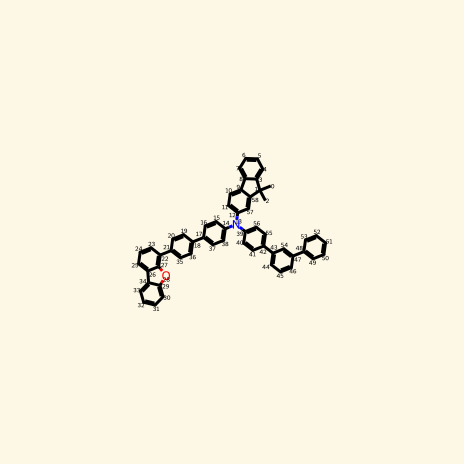 CC1(C)c2ccccc2-c2ccc(N(c3ccc(-c4ccc(-c5cccc6c5oc5ccccc56)cc4)cc3)c3ccc(-c4cccc(-c5ccccc5)c4)cc3)cc21